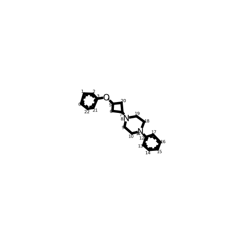 c1ccc(OC2CC(N3CCN(c4ccccc4)CC3)C2)cc1